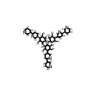 Cc1cc(B(c2c(C)c(C)c(-c3ccc(-c4cccnc4)nc3)c(C)c2C)c2c(C)c(C)c(-c3ccc(-c4cccnc4)nc3)c(C)c2C)c(C)c(C)c1-c1ccc(-c2cccnc2)nc1